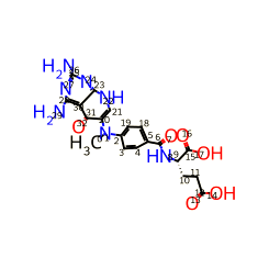 CN(c1ccc(C(=O)N[C@@H](CCC(=O)O)C(=O)O)cc1)c1c[nH]c2nc(N)nc(N)c2c1=O